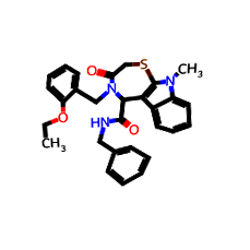 CCOc1ccccc1CN1C(=O)CSc2c(c3ccccc3n2C)C1C(=O)NCc1ccccc1